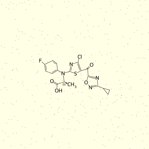 C[C@@H](C(=O)O)N(c1ccc(F)cc1)c1nc(Cl)c(C(=O)c2nc(C3CC3)no2)s1